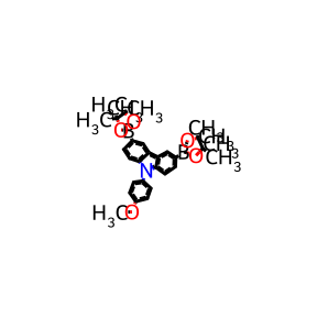 COc1ccc(-n2c3ccc(B4OC(C)(C)C(C)(C)O4)cc3c3cc(B4OC(C)(C)C(C)(C)O4)ccc32)cc1